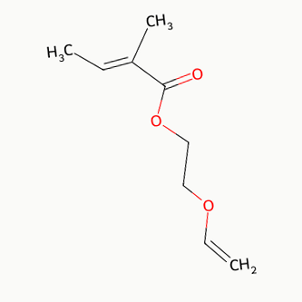 C=COCCOC(=O)C(C)=CC